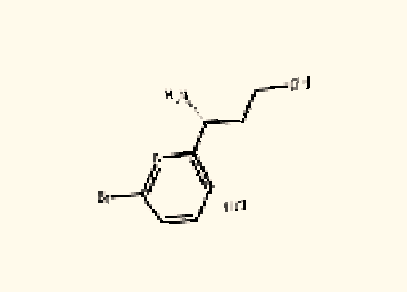 Cl.N[C@H](CCO)c1cccc(Br)n1